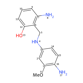 COc1cc(NCc2c(N)cccc2O)ccc1N